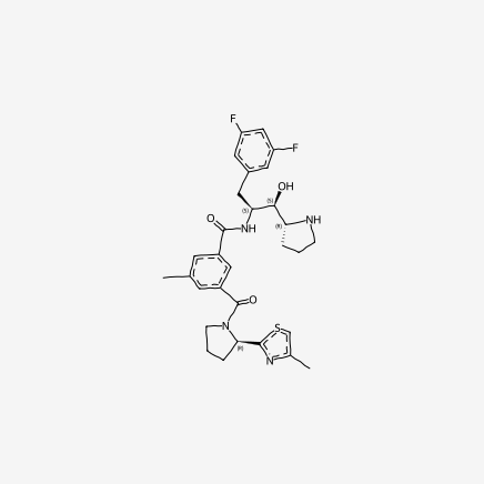 Cc1cc(C(=O)N[C@@H](Cc2cc(F)cc(F)c2)[C@@H](O)[C@H]2CCCN2)cc(C(=O)N2CCC[C@@H]2c2nc(C)cs2)c1